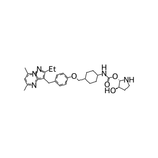 CCc1nn2c(C)cc(C)nc2c1Cc1ccc(OCC2CCC(NC(=O)O[C@@H]3NCC[C@H]3O)CC2)cc1